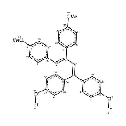 CCOc1ccc(C(=CC(=Cc2ccc(OC)cc2)c2ccc(OC)cc2)c2ccc(OCC)cc2)cc1